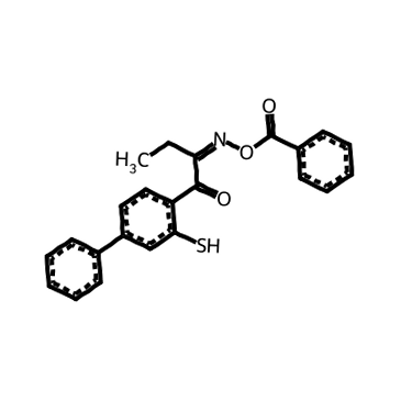 CCC(=NOC(=O)c1ccccc1)C(=O)c1ccc(-c2ccccc2)cc1S